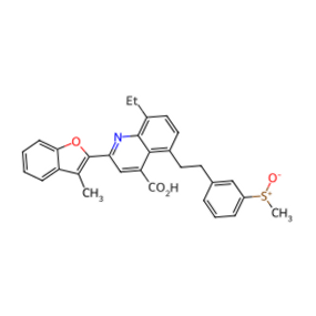 CCc1ccc(CCc2cccc([S+](C)[O-])c2)c2c(C(=O)O)cc(-c3oc4ccccc4c3C)nc12